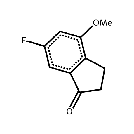 COc1cc(F)cc2c1CCC2=O